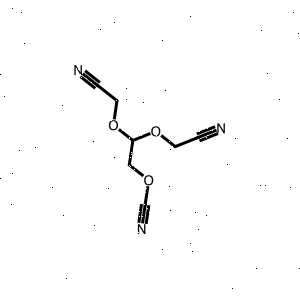 N#CCOC(COC#N)OCC#N